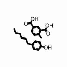 CCCC=CCc1ccc(O)cc1.Cc1ccc(C(=O)O)cc1C(=O)O